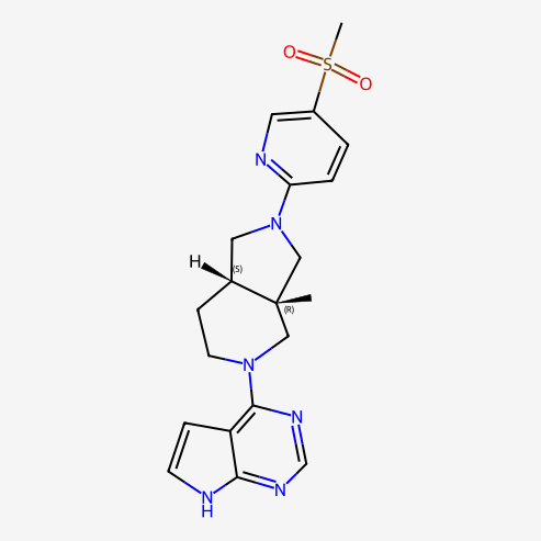 C[C@]12CN(c3ccc(S(C)(=O)=O)cn3)C[C@H]1CCN(c1ncnc3[nH]ccc13)C2